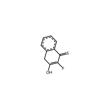 OC1=C(F)C(=S)c2ccccc2C1